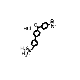 CN(C)Cc1ccc(-c2ccc(C(=O)c3ccc([N+](=O)[O-])cc3)cc2)cc1.Cl